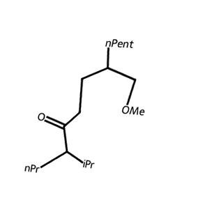 CCCCCC(CCC(=O)C(CCC)C(C)C)COC